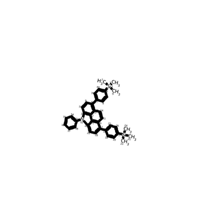 C[Si](C)(C)c1ccc(-c2ccc3c4c2ccc2c(-c5ccc([Si](C)(C)C)cc5)ccc(c24)n3-c2ccccc2)cc1